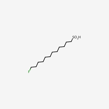 O=S(=O)(O)CCCCCCCCCCCCF